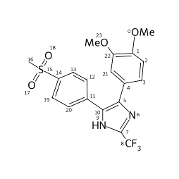 COc1ccc(-c2nc(C(F)(F)F)[nH]c2-c2ccc(S(C)(=O)=O)cc2)cc1OC